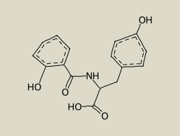 O=C(NC(Cc1ccc(O)cc1)C(=O)O)c1ccccc1O